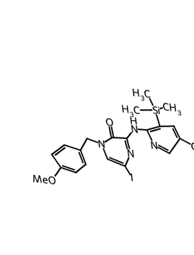 COc1ccc(Cn2cc(I)nc(Nc3ncc(Cl)cc3[Si](C)(C)C)c2=O)cc1